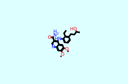 CCc1c(CCC(C)O)cccc1Nc1c(C(N)=O)cnc2cc(OC)c(OC)cc12